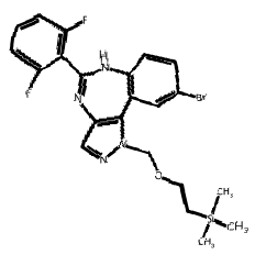 C[Si](C)(C)CCOCn1ncc2c1-c1cc(Br)ccc1NC(c1c(F)cccc1F)=N2